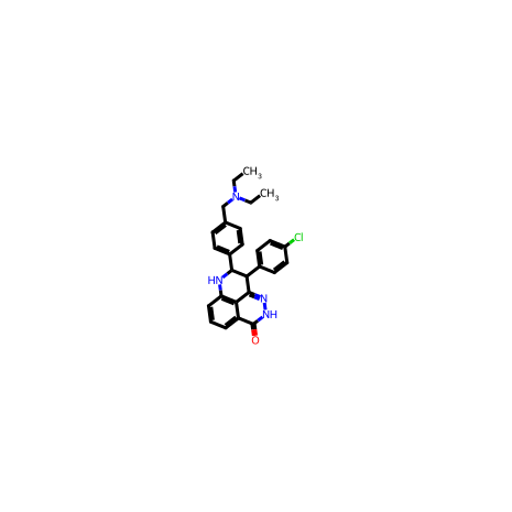 CCN(CC)Cc1ccc(C2Nc3cccc4c(=O)[nH]nc(c34)C2c2ccc(Cl)cc2)cc1